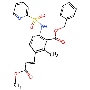 COC(=O)C=Cc1ccc(NS(=O)(=O)c2ccccn2)c(C(=O)OCc2ccccc2)c1C